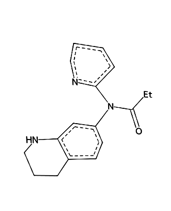 CCC(=O)N(c1ccc2c(c1)NCCC2)c1ccccn1